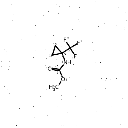 COC(=O)NC1(C(F)(F)F)CC1